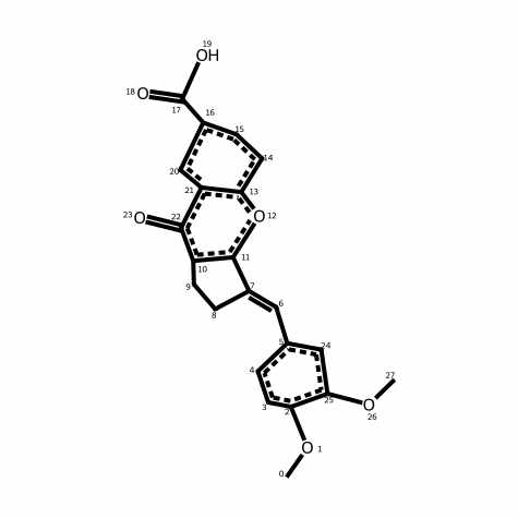 COc1ccc(/C=C2\CCc3c2oc2ccc(C(=O)O)cc2c3=O)cc1OC